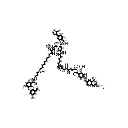 Cc1ncsc1-c1ccc([C@H](C)NC(=O)[C@@H]2C[C@@H](NC(=O)CCCCn3cc(CNC(=O)CC[C@H](NC(=O)c4ccc(NCc5cnc6nc(N)[nH]c(=O)c6n5)cc4)C(=O)O)nn3)CN2C(=O)[C@@H](NC(=O)CCCCCCCCCCNCCCONC(=O)c2ccc(F)c(F)c2Nc2ccc(I)cc2F)C(C)(C)C)cc1